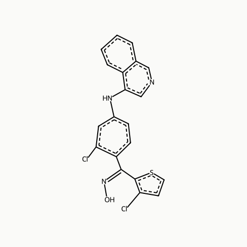 O/N=C(/c1ccc(Nc2cncc3ccccc23)cc1Cl)c1sccc1Cl